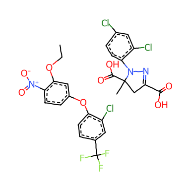 CC1(C(=O)O)CC(C(=O)O)=NN1c1ccc(Cl)cc1Cl.CCOc1cc(Oc2ccc(C(F)(F)F)cc2Cl)ccc1[N+](=O)[O-]